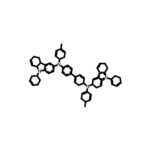 CC1=CCC(N(c2ccc(C3=CCC(N(C4=CCC(C)C=C4)C4C=c5c6c(n(C7=CC=CCC7)c5=CC4)CCC=C6)C=C3)cc2)c2ccc3c(c2)C2CCC=CC2N3C2CC=CCC2)C=C1